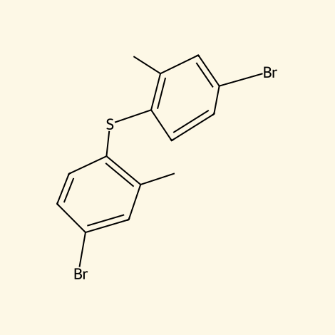 Cc1cc(Br)ccc1Sc1ccc(Br)cc1C